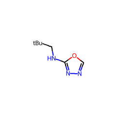 CC(C)(C)CNc1nnco1